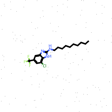 CCCCCCCCCCNc1nc2cc(C(F)(F)F)cc(Cl)c2[nH]1